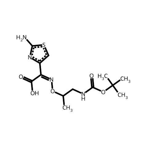 CC(CNC(=O)OC(C)(C)C)ON=C(C(=O)O)c1csc(N)n1